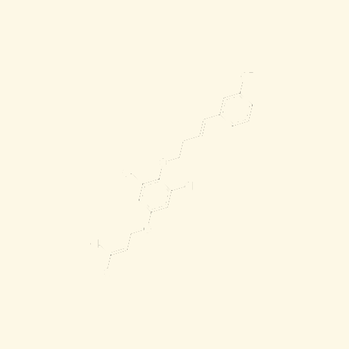 FC(F)(F)c1cccc(/C=C/CCOc2c(Cl)cc(OCC=C(Cl)Cl)cc2Cl)c1